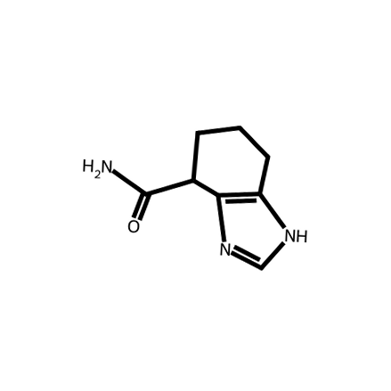 NC(=O)C1CCCc2[nH]cnc21